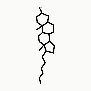 CCCCCCC1CCC2C3CCC4CC(Br)CCC4(C)C3CCC12C